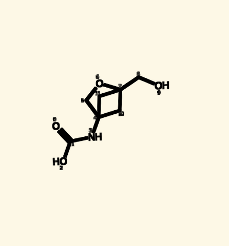 O=C(O)NC12COC(CO)(C1)C2